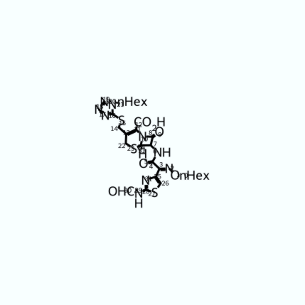 CCCCCCON=C(C(=O)NC1C(=O)N2C(C(=O)O)=C(CSc3nnnn3CCCCCC)CS[C@@H]12)c1csc(NC=O)n1